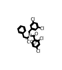 O=C(O)[C@H](Cc1ccccc1)N(Cc1cc(Cl)cc(Cl)c1)C(=O)c1ccc(Cl)cc1Cl